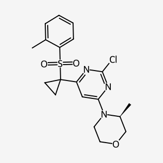 Cc1ccccc1S(=O)(=O)C1(c2cc(N3CCOC[C@@H]3C)nc(Cl)n2)CC1